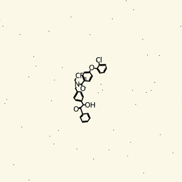 O=C(c1ccccc1)C(O)c1ccc(CN(CC(F)(F)F)C(=O)c2ccc(Oc3ccccc3Cl)cc2)cc1